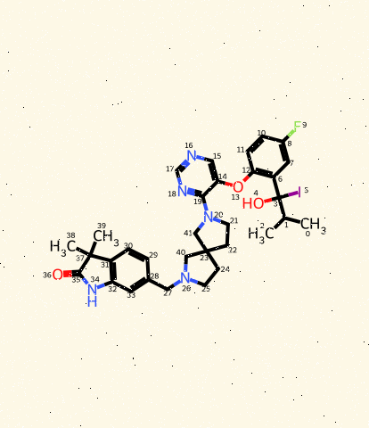 CC(C)C(O)(I)c1cc(F)ccc1Oc1cncnc1N1CCC2(CCN(Cc3ccc4c(c3)NC(=O)C4(C)C)C2)C1